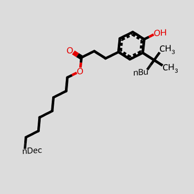 CCCCCCCCCCCCCCCCCOC(=O)CCc1ccc(O)c(C(C)(C)CCCC)c1